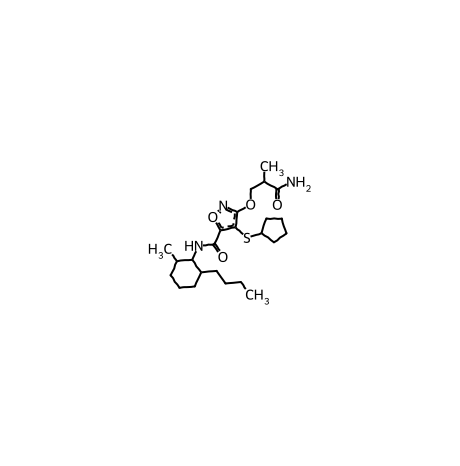 CCCCC1CCCC(C)C1NC(=O)c1onc(OCC(C)C(N)=O)c1SC1CCCC1